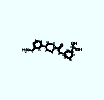 NCc1cccc(C2CCN(C(=O)Cc3cccc(B(O)O)c3)CC2)c1